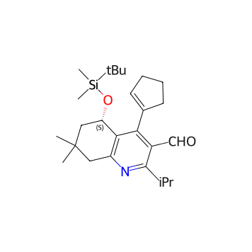 CC(C)c1nc2c(c(C3=CCCC3)c1C=O)[C@@H](O[Si](C)(C)C(C)(C)C)CC(C)(C)C2